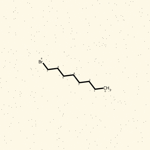 CCCC[CH]CCCBr